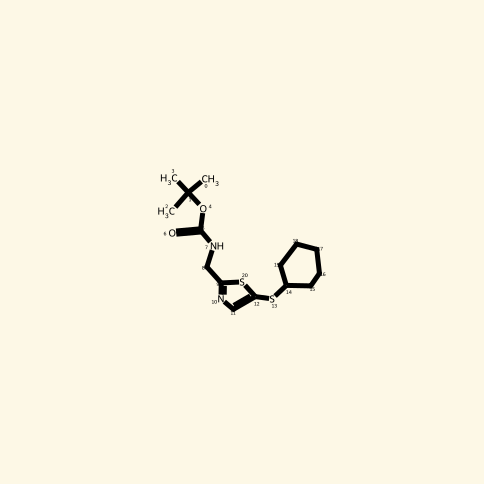 CC(C)(C)OC(=O)NCc1ncc(SC2CCCCC2)s1